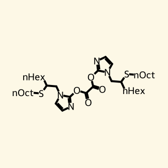 CCCCCCCCSC(CCCCCC)Cn1ccnc1OC(=O)C(=O)Oc1nccn1CC(CCCCCC)SCCCCCCCC